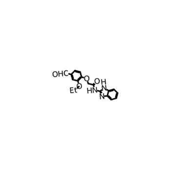 CCOc1cc(C=O)ccc1OCC(=O)Nc1nc2ccccc2[nH]1